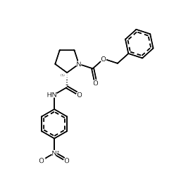 O=C(Nc1ccc([N+](=O)[O-])cc1)[C@@H]1CCCN1C(=O)OCc1ccccc1